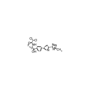 Cn1nnc(-c2ccc(-c3ccc([C@@H](O)[C@@H](CF)NC(=O)C(Cl)Cl)cc3)cn2)n1